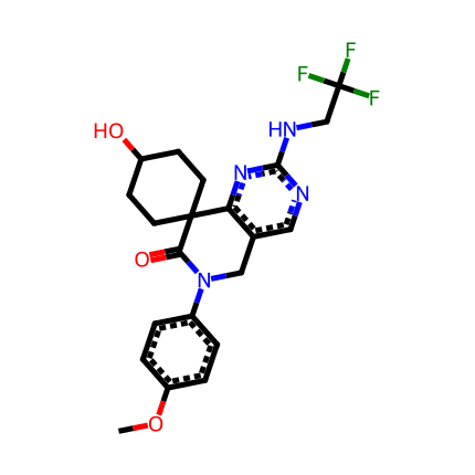 COc1ccc(N2Cc3cnc(NCC(F)(F)F)nc3C3(CCC(O)CC3)C2=O)cc1